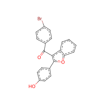 O=C(c1ccc(Br)cc1)c1c(-c2ccc(O)cc2)oc2ccccc12